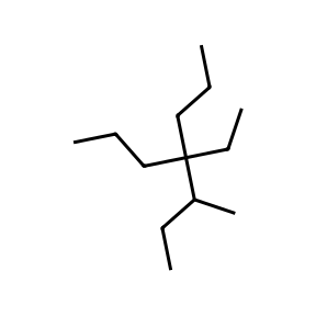 CCCC(CC)(CCC)C(C)CC